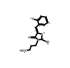 O=C(O)CCCN1C(=O)/C(=C/c2ccccc2F)SC1S